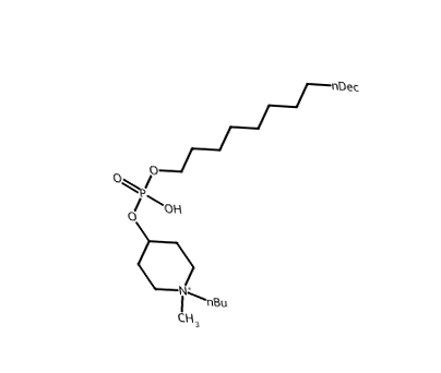 CCCCCCCCCCCCCCCCCCOP(=O)(O)OC1CC[N+](C)(CCCC)CC1